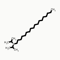 CCCCCCCCCCCCCCCCCC[Si](C(C)C)C(C)C